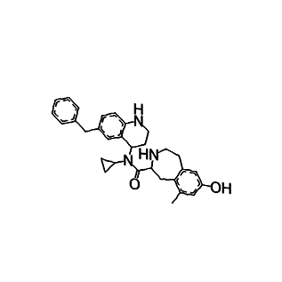 Cc1cc(O)cc2c1CC(C(=O)N(C1CC1)C1CCNc3ccc(Cc4ccccc4)cc31)NCC2